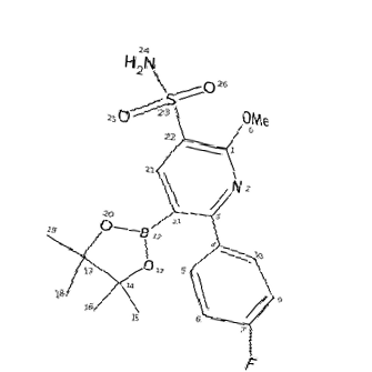 COc1nc(-c2ccc(F)cc2)c(B2OC(C)(C)C(C)(C)O2)cc1S(N)(=O)=O